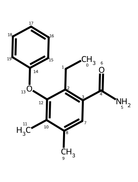 CCc1c(C(N)=O)cc(C)c(C)c1Oc1ccccc1